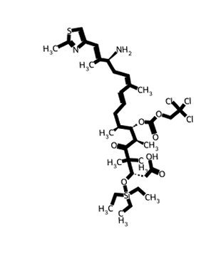 CC[Si](CC)(CC)O[C@@H](CC(=O)O)C(C)(C)C(=O)[C@H](C)[C@@H](OC(=O)OCC(Cl)(Cl)Cl)[C@@H](C)C/C=C/C(C)=C\C[C@H](N)/C(C)=C/c1csc(C)n1